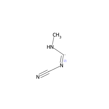 CN/[C]=N\C#N